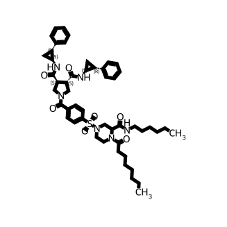 CCCCCCCC(=O)N1CCN(S(=O)(=O)c2ccc(C(=O)N3C[C@@H](C(=O)N[C@H]4C[C@@H]4c4ccccc4)[C@H](C(=O)N[C@H]4C[C@@H]4c4ccccc4)C3)cc2)CC1C(=O)NCCCCCC